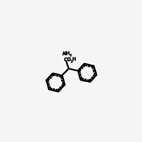 O=C(O)C(c1ccccc1)c1ccccc1.[AlH3]